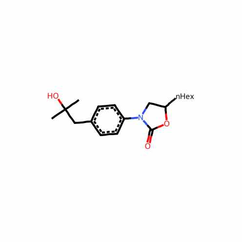 CCCCCCC1CN(c2ccc(CC(C)(C)O)cc2)C(=O)O1